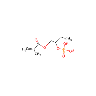 C=C(C)C(=O)OCC(CC)OP(=O)(O)O